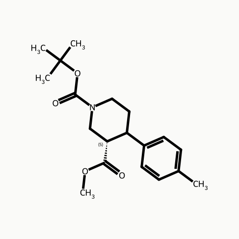 COC(=O)[C@@H]1CN(C(=O)OC(C)(C)C)CCC1c1ccc(C)cc1